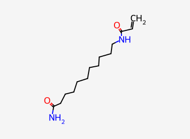 C=CC(=O)NCCCCCCCCCCC(N)=O